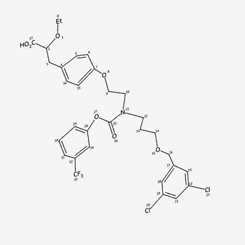 CCOC(Cc1ccc(OCCN(CCCOCc2cc(Cl)cc(Cl)c2)C(=O)Oc2cccc(C(F)(F)F)c2)cc1)C(=O)O